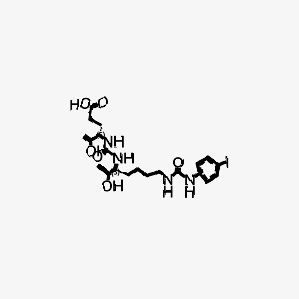 C=C(O)[C@H](CCCCNC(=O)Nc1ccc(I)cc1)NC(=O)N[C@@H](CCC(=O)O)C(=C)O